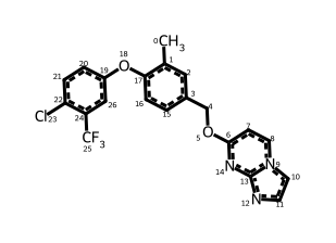 Cc1cc(COc2ccn3ccnc3n2)ccc1Oc1ccc(Cl)c(C(F)(F)F)c1